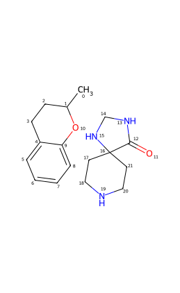 CC1CCc2ccccc2O1.O=C1NCNC12CCNCC2